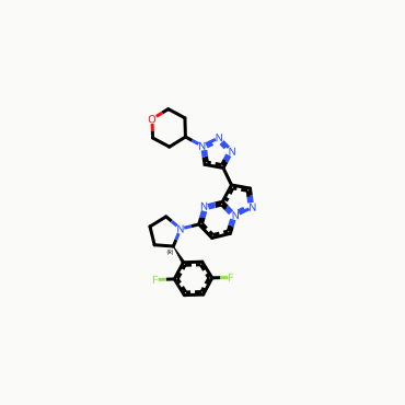 Fc1ccc(F)c([C@H]2CCCN2c2ccn3ncc(-c4cn(C5CCOCC5)nn4)c3n2)c1